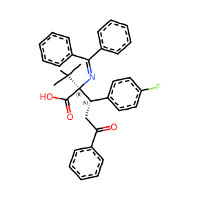 CC(C)(C)[C@@](N=C(c1ccccc1)c1ccccc1)(C(=O)O)[C@@H](CC(=O)c1ccccc1)c1ccc(F)cc1